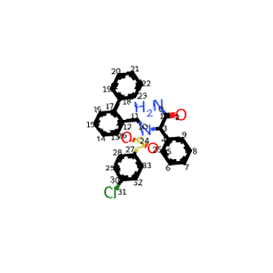 NC(=O)C(c1ccccc1)N(Cc1ccccc1-c1ccccc1)S(=O)(=O)c1ccc(Cl)cc1